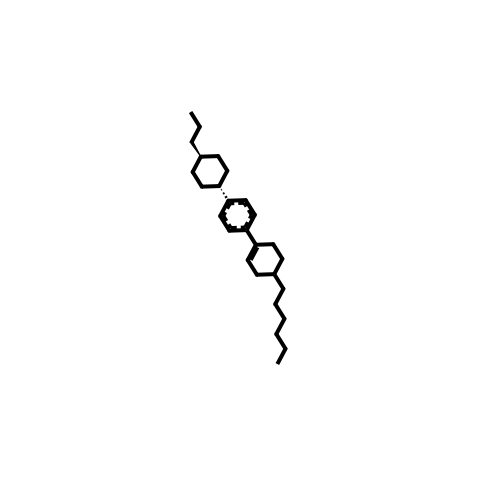 CCCCCCC1CC=C(c2ccc([C@H]3CC[C@H](CCC)CC3)cc2)CC1